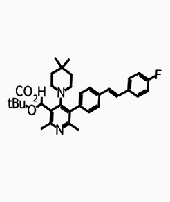 Cc1nc(C)c(C(OC(C)(C)C)C(=O)O)c(N2CCC(C)(C)CC2)c1-c1ccc(C=Cc2ccc(F)cc2)cc1